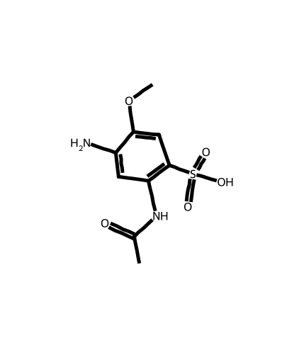 COc1cc(S(=O)(=O)O)c(NC(C)=O)cc1N